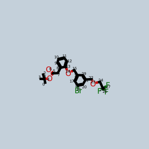 CC(C)(C)OC(=O)Cc1ccccc1OCc1cc(Br)cc(COCC(F)(F)F)c1